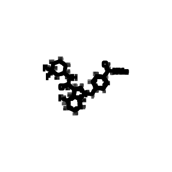 CNC(=O)c1ccc(Cn2cc(C(=O)NC3CCCC(F)(F)C3)c3c(F)cccc32)cc1